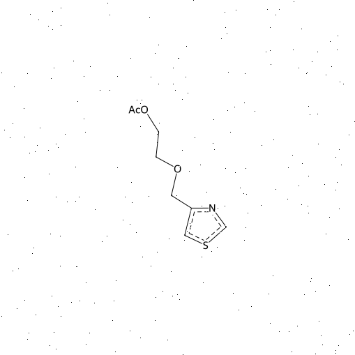 CC(=O)OCCOCc1cscn1